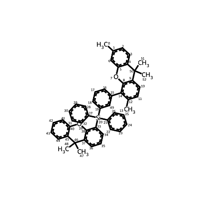 Cc1ccc2c(c1)Oc1c(ccc(C)c1-c1cccc([Si](c3ccccc3)(c3ccccc3)c3cccc4c3Oc3ccccc3C4(C)C)c1)C2(C)C